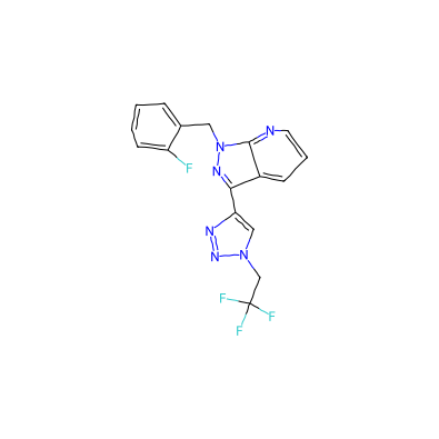 Fc1ccccc1Cn1nc(-c2cn(CC(F)(F)F)nn2)c2cccnc21